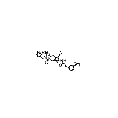 COc1cccc(CCC(=O)Nc2sc3c(c2C#N)CCN(C(=O)NCc2ccnn2C)C3)c1